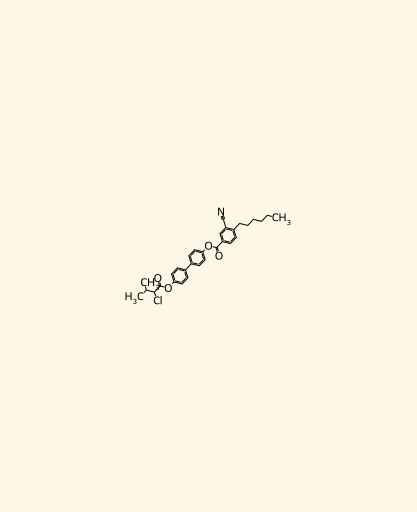 CCCCCCc1ccc(C(=O)Oc2ccc(-c3ccc(OC(=O)C(Cl)C(C)C)cc3)cc2)cc1C#N